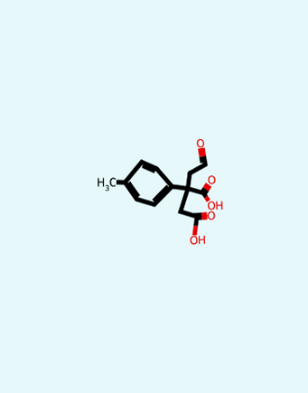 Cc1ccc(C(CC=O)(CC(=O)O)C(=O)O)cc1